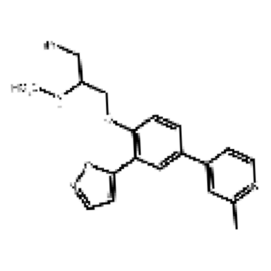 Cc1cc(-c2ccc(OCC(CC(C)C)NC(=O)O)c(-c3ccno3)c2)ccn1